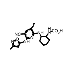 Cc1cc(Nc2nc(NC3CCCCC3NC(=O)O)c(F)cc2C#N)on1